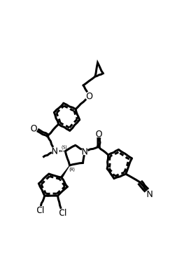 CN(C(=O)c1ccc(OCC2CC2)cc1)[C@@H]1CN(C(=O)c2ccc(C#N)cc2)C[C@H]1c1ccc(Cl)c(Cl)c1